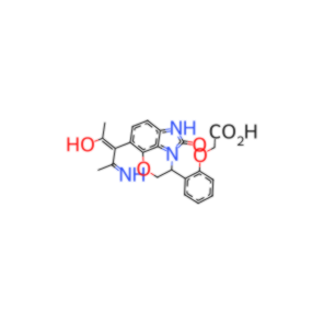 CC(=N)/C(=C(/C)O)c1ccc2[nH]c(=O)n3c2c1OCC3c1ccccc1OCC(=O)O